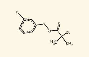 CCC(C)(C)C(=O)OCc1cccc(F)c1